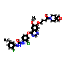 COc1cc2c(Oc3ccc(NC(=O)Nc4cc(C)ccc4F)c(Cl)c3)ncnc2cc1OCCCC(=O)N1CCC2(CC1)COC2